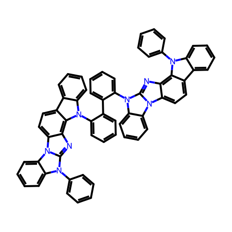 c1ccc(-n2c3ccccc3c3ccc4c(nc5n(-c6ccccc6-c6ccccc6-n6c7ccccc7c7ccc8c(nc9n(-c%10ccccc%10)c%10ccccc%10n89)c76)c6ccccc6n45)c32)cc1